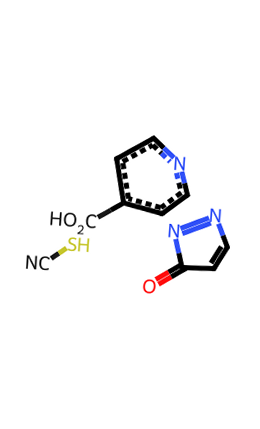 N#CS.O=C(O)c1ccncc1.O=C1C=CN=N1